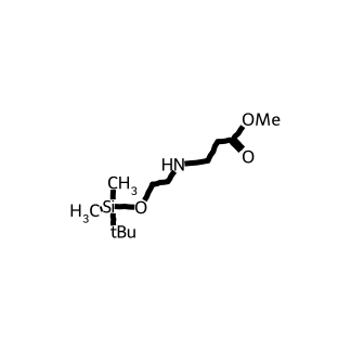 COC(=O)CCNCCO[Si](C)(C)C(C)(C)C